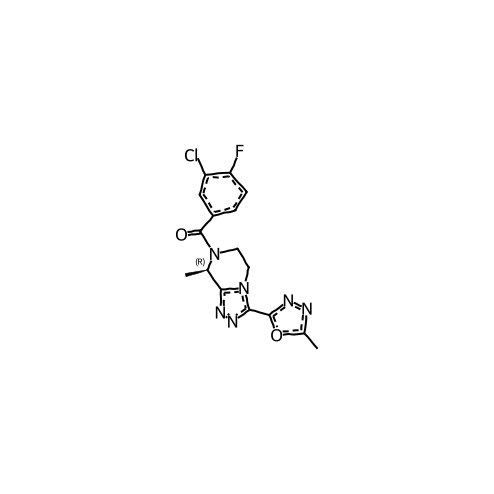 Cc1nnc(-c2nnc3n2CCN(C(=O)c2ccc(F)c(Cl)c2)[C@@H]3C)o1